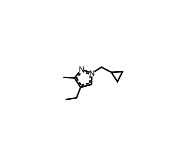 CCc1cn(CC2CC2)nc1C